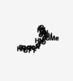 COc1cc(C(=O)NC2CC3(CCN(C[C@@H]4CCN(c5ccc(C6CCC(=O)NC6=O)cc5F)C[C@@H]4F)CC3)C2)ccc1Nc1ncc2c(n1)N(C1CCCC1)CC(F)(F)C(=O)N2C